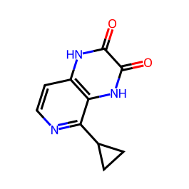 O=c1[nH]c2ccnc(C3CC3)c2[nH]c1=O